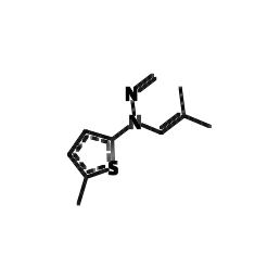 C=NN(C=C(C)C)c1ccc(C)s1